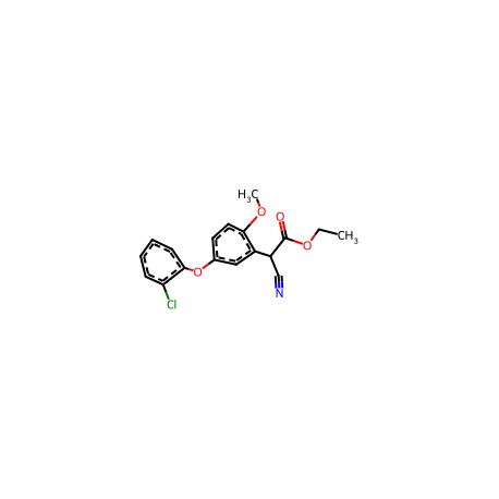 CCOC(=O)C(C#N)c1cc(Oc2ccccc2Cl)ccc1OC